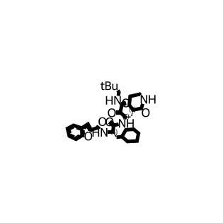 CC(C)(C)CNC(=O)C(=O)[C@H](C[C@@H]1CCCNC1=O)NC(=O)[C@H](CC1CCCCC1)NC(=O)c1cc2ccccc2o1